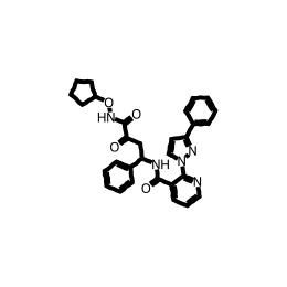 O=C(CC(NC(=O)c1cccnc1-n1ccc(-c2ccccc2)n1)c1ccccc1)C(=O)NOC1CCCC1